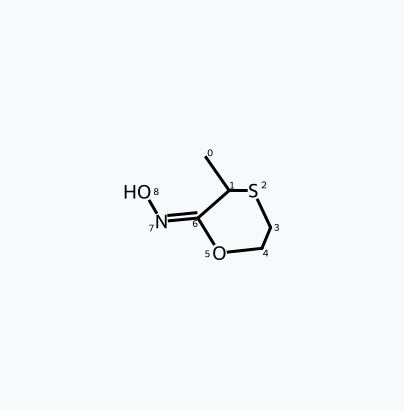 CC1SCCOC1=NO